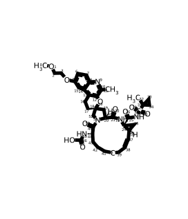 COCCOc1ccc2nc(C)c3c(c2c1)CC[C@]1(C[C@H]2C(=O)N[C@]4(C(=O)NS(=O)(=O)C5(C)CC5)C[C@H]4/C=C\CCCCC[C@H](NC(=O)O)C(=O)N2C1)O3